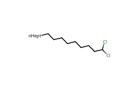 CCCCCCCCCCCCCCCC(Cl)Cl